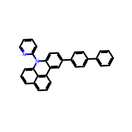 c1ccc(-c2ccc(-c3ccc4c(c3)-c3cccc5cccc(c35)N4c3ccccn3)cc2)cc1